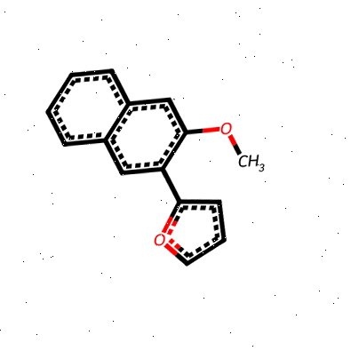 COc1[c]c2ccccc2cc1-c1ccco1